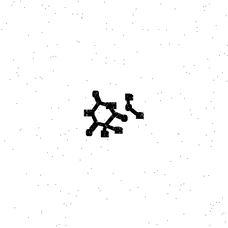 CCC1(CC)C(=O)NC(=O)NC1=O.CCOCC